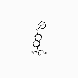 C[C@](N)(CO)c1ccc2cc(OC34CCC(CC3)CC4)ccc2c1